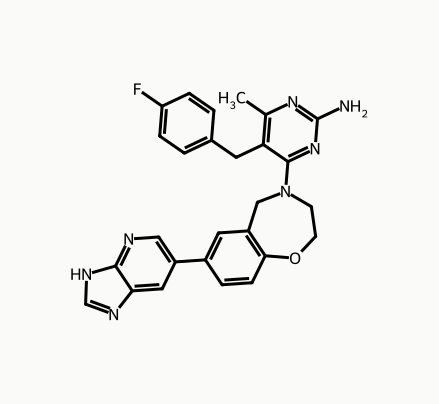 Cc1nc(N)nc(N2CCOc3ccc(-c4cnc5[nH]cnc5c4)cc3C2)c1Cc1ccc(F)cc1